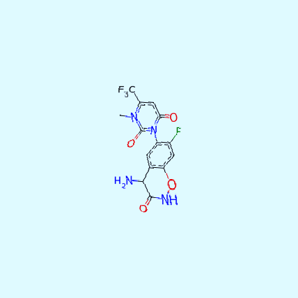 Cn1c(C(F)(F)F)cc(=O)n(-c2cc3c(cc2F)ONC(=O)C3N)c1=O